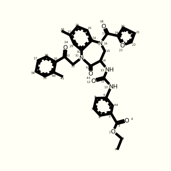 CCOC(=O)c1cccc(NC(=O)NC2CN(C(=O)c3ccco3)c3ccc(C)cc3N(CC(=O)c3ccccc3C)C2=O)c1